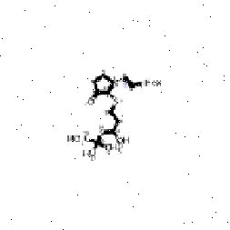 CCCCCC/C=C/[C@H]1CCC(=O)[C@@H]1SCCC(O)SC(C)(O)C(=O)O